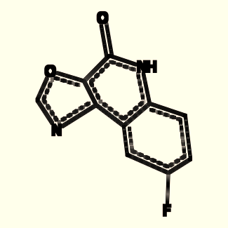 O=c1[nH]c2ccc(F)cc2c2ncoc12